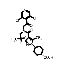 CC(C)(F)CN(CC(=O)c1c(Cl)cncc1Cl)C(=O)c1cnn([C@H]2CC[C@H](C(=O)O)CC2)c1C(F)(F)F